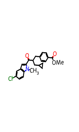 COC(=O)c1ccc(CC(CC2CC2)C(=O)c2cc3cc(Cl)ccc3n2C)cc1